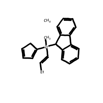 C.CCC=[CH][Zr]([CH3])([C]1=CC=CC1)[CH]1c2ccccc2-c2ccccc21